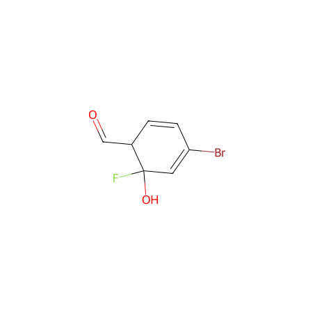 O=CC1C=CC(Br)=CC1(O)F